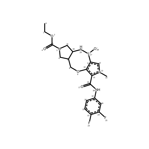 CCOC(=O)N1CC2COc3c(cn(C)c3C(=O)Nc3ccc(F)c(F)c3)[S+]([O-])NC2C1